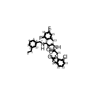 CCc1cccc(CNC[C@@H](O)[C@H](Cc2cc(F)cc(F)c2)NC(=O)Cn2c(=O)sc3cccc(Cl)c32)c1